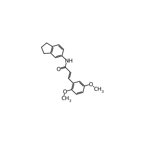 COc1ccc(OC)c(/C=C/C(=O)Nc2ccc3c(c2)CCC3)c1